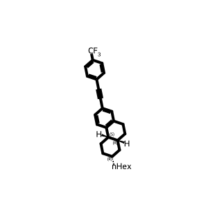 CCCCCC[C@@H]1CC[C@@H]2c3ccc(C#Cc4ccc(C(F)(F)F)cc4)cc3CC[C@@H]2C1